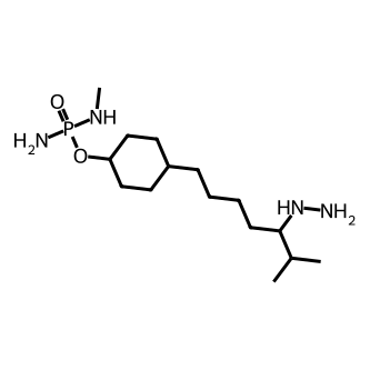 CNP(N)(=O)OC1CCC(CCCCC(NN)C(C)C)CC1